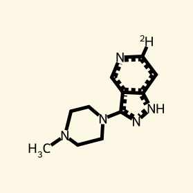 [2H]c1cc2[nH]nc(N3CCN(C)CC3)c2cn1